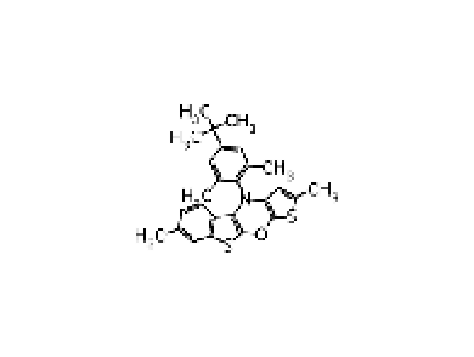 Cc1ccc2c3c(sc2c1)Oc1sc(C)cc1N3c1c(C)cc(C(C)(C)C)cc1C